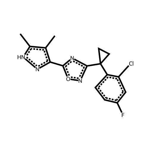 Cc1[nH]nc(-c2nc(C3(c4ccc(F)cc4Cl)CC3)no2)c1C